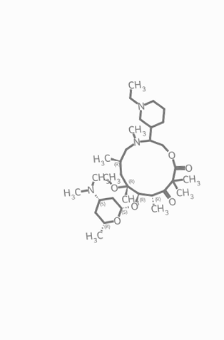 CCN1CCCC(C2COC(=O)C(C)(C)C(=O)[C@H](C)[C@@H](O[C@H]3C[C@@H](N(C)C)C[C@@H](C)O3)[C@](C)(OC)C[C@@H](C)CN2C)C1